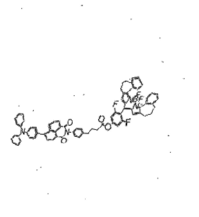 O=C(CCCc1ccc(N2C(=O)c3cccc4c(-c5ccc(N(c6ccccc6)c6ccccc6)cc5)ccc(c34)C2=O)cc1)Oc1cc(F)c(C2=C3C=C4CCCc5ccccc5C4=[N+]3[B-](F)(F)n3c2cc2c3-c3ccccc3CCC2)c(F)c1